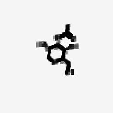 CC(=O)N[C@@H]1[C@H](O)[C@@H](CO)O[CH][C@@H]1O